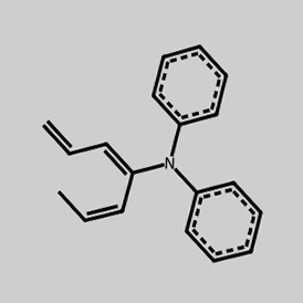 C=C/C=C(\C=C/C)N(c1ccccc1)c1ccccc1